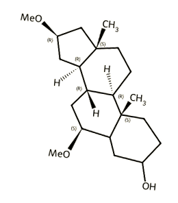 CO[C@@H]1C[C@@H]2[C@H]3C[C@H](OC)C4CC(O)CC[C@@]4(C)[C@@H]3CC[C@@]2(C)C1